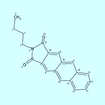 CCCCN1C(=O)c2cc3cc4ccccc4cc3cc2C1=O